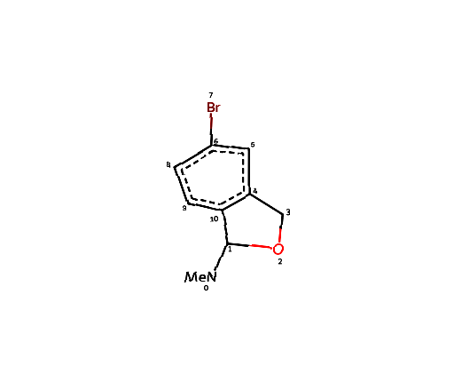 CNC1OCc2cc(Br)ccc21